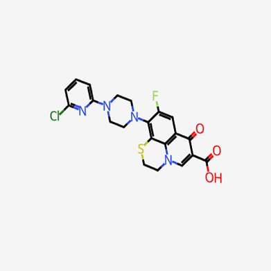 O=C(O)c1cn2c3c(c(N4CCN(c5cccc(Cl)n5)CC4)c(F)cc3c1=O)SCC2